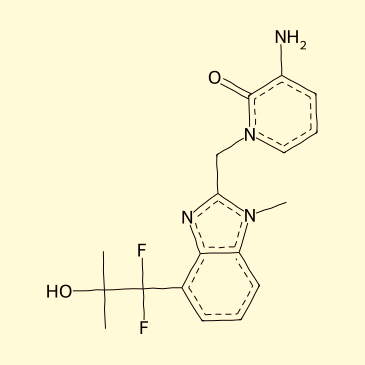 Cn1c(Cn2cccc(N)c2=O)nc2c(C(F)(F)C(C)(C)O)cccc21